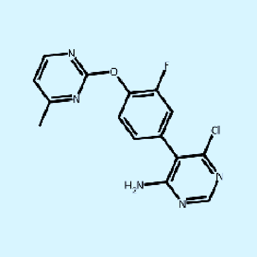 Cc1ccnc(Oc2ccc(-c3c(N)ncnc3Cl)cc2F)n1